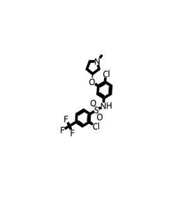 CN1CC[C@@H](Oc2cc(NS(=O)(=O)c3ccc(C(F)(F)F)cc3Cl)ccc2Cl)C1